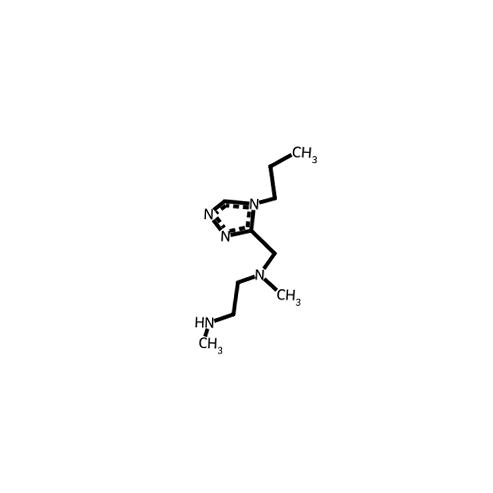 CCCn1cnnc1CN(C)CCNC